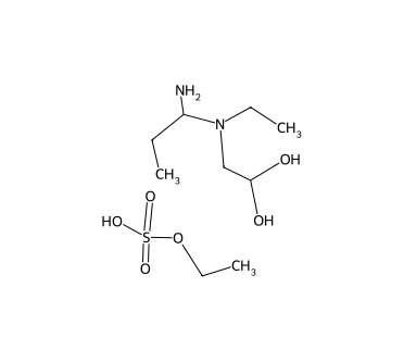 CCC(N)N(CC)CC(O)O.CCOS(=O)(=O)O